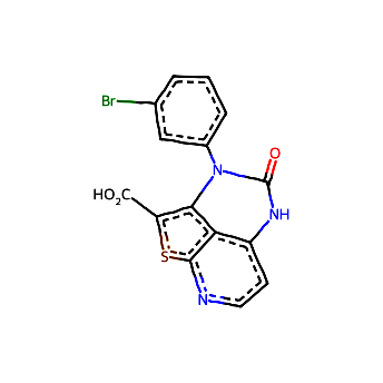 O=C(O)c1sc2nccc3c2c1N(c1cccc(Br)c1)C(=O)N3